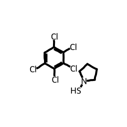 Clc1cc(Cl)c(Cl)c(Cl)c1Cl.SN1CCCC1